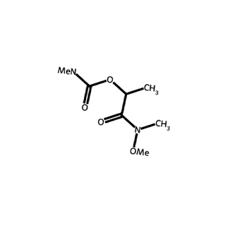 CNC(=O)OC(C)C(=O)N(C)OC